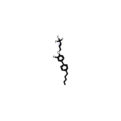 CCCCCc1ccc(-c2ccc(OC/C=C/C(F)(F)F)c(F)c2)cc1